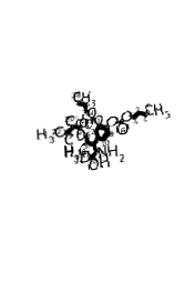 CCCCOC(=O)Oc1ccc(C(C(C)COC(=O)C(C)C(C)C)[C@H](N)C(=O)O)cc1OC(=O)OCCCC